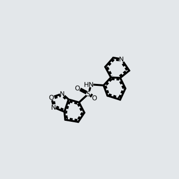 O=S(=O)(Nc1cccc2cnccc12)c1cccc2nonc12